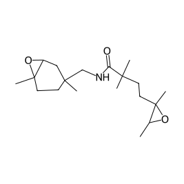 CC1OC1(C)CCC(C)(C)C(=O)NCC1(C)CCC2(C)OC2C1